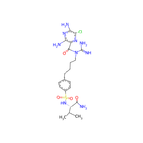 CC(C)[C@H](NS(=O)(=O)c1ccc(CCCCN(C(=N)N)C(=O)c2nc(Cl)c(N)nc2N)cc1)C(N)=O